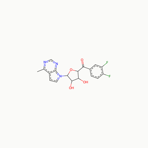 Cc1ncnc2c1ccn2C1OC(C(=O)c2ccc(F)c(F)c2)C(O)C1O